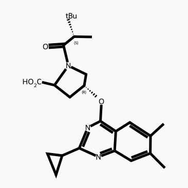 Cc1cc2nc(C3CC3)nc(O[C@@H]3CC(C(=O)O)N(C(=O)[C@@H](C)C(C)(C)C)C3)c2cc1C